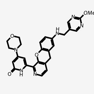 COc1ncc(CNc2ccc3c(c2)Cc2ccnc(-c4cc(N5CCOCC5)cc(=O)[nH]4)c2O3)cn1